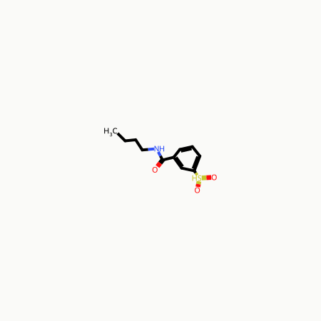 CCCCNC(=O)c1cccc([SH](=O)=O)c1